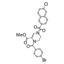 COC(=O)C1=CN(S(=O)(=O)c2ccc3cc(Cl)ccc3c2)CCN1C(=O)c1ccc(Br)cc1